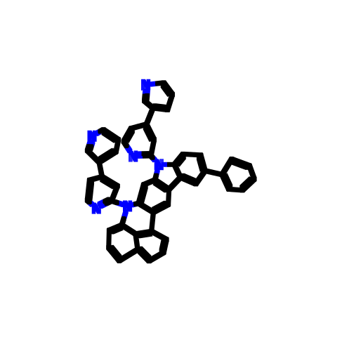 c1ccc(-c2ccc3c(c2)c2cc4c(cc2n3-c2cc(-c3cccnc3)ccn2)N(c2cc(-c3cccnc3)ccn2)c2cccc3cccc-4c23)cc1